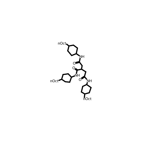 CCCCCCCCC1CCC(NC(=O)CC(CC(=O)NC2CCC(CCCCCCCC)CC2)C(=O)NC2CCC(CCCCCCCC)CC2)CC1